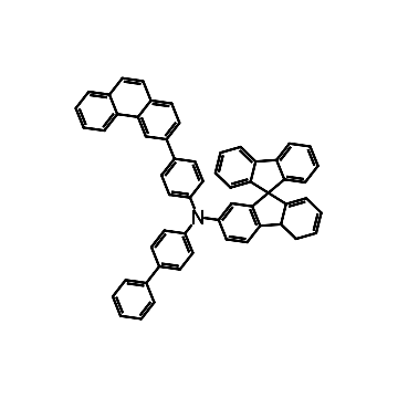 C1=CCC2C(=C1)C1(c3ccccc3-c3ccccc31)c1cc(N(c3ccc(-c4ccccc4)cc3)c3ccc(-c4ccc5ccc6ccccc6c5c4)cc3)ccc12